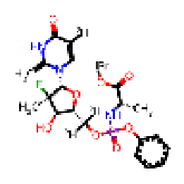 [2H]C1=CN([C@@H]2O[C@H](C([2H])([2H])O[P@@](=O)(N[C@@H](C)C(=O)OC(C)C)Oc3ccccc3)[C@@H](O)[C@@]2(C)F)C(=C)NC1=O